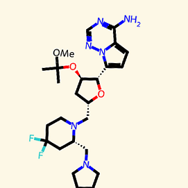 COC(C)(C)O[C@@H]1C[C@@H](CN2CCC(F)(F)C[C@H]2CN2CCCC2)O[C@H]1c1ccc2c(N)ncnn12